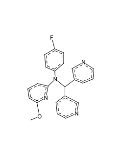 COc1cccc(N(c2ccc(F)cc2)C(c2cccnc2)c2cccnc2)n1